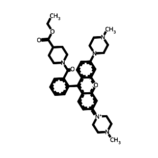 CCOC(=O)C1CCN(C(=O)c2ccccc2-c2c3ccc(=[N+]4CCN(C)CC4)cc-3oc3cc(N4CCN(C)CC4)ccc23)CC1